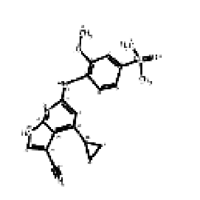 COc1cc(P(C)(C)=O)ccc1Nc1cc(C2CC2)c2c(C#N)c[nH]c2n1